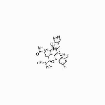 CCCN(CCC)C(=O)c1cc(C(N)=O)cc(C(N)=O)c1C(Cc1cc(F)cc(F)c1)C(O)CCc1cnn[nH]1